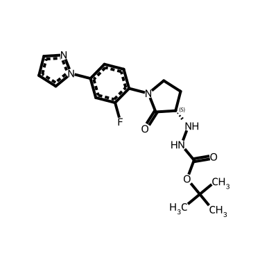 CC(C)(C)OC(=O)NN[C@H]1CCN(c2ccc(-n3cccn3)cc2F)C1=O